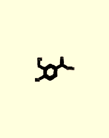 COC(=O)c1ccc(C#N)c(CC#N)c1